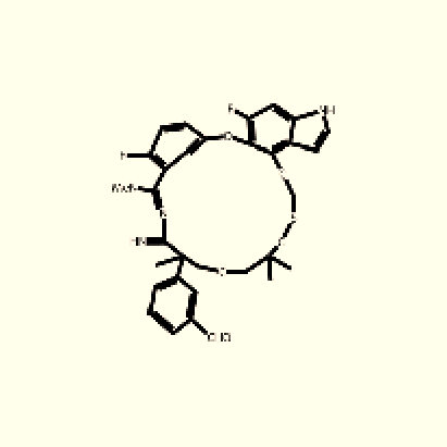 CN/C1=N\C(=N)C(C)(c2cccc(C=O)c2)CCCC(C)(C)CSCCc2c(c(F)cc3[nH]ccc23)Oc2ccc(F)c1c2